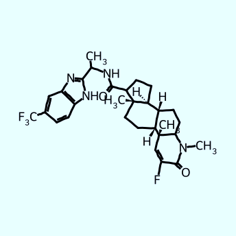 CC(NC(=O)C1CC[C@H]2[C@@H]3CCC4N(C)C(=O)C(F)=C[C@]4(C)[C@@H]3CC[C@]12C)c1nc2cc(C(F)(F)F)ccc2[nH]1